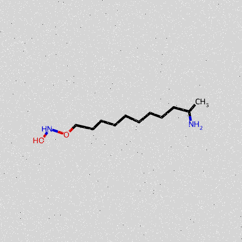 CC(N)CCCCCCCCCONO